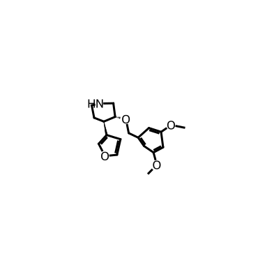 COc1cc(CO[C@H]2CNCC[C@@H]2c2ccoc2)cc(OC)c1